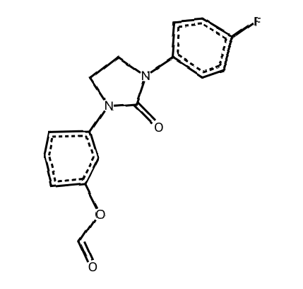 O=COc1cccc(N2CCN(c3ccc(F)cc3)C2=O)c1